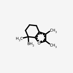 BC1(C)CCCc2c1oc(C)c2C